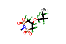 CN1S(=O)(=O)C(F)(F)C(F)(OC(F)(F)C(C)(F)C(F)(F)C(C)(C)C)C(F)(F)S1(=O)=O